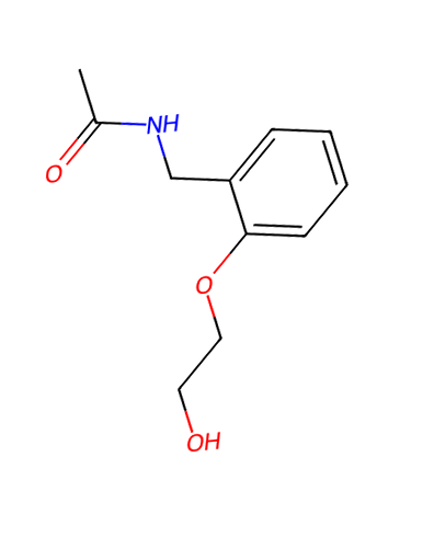 CC(=O)NCc1ccccc1OCCO